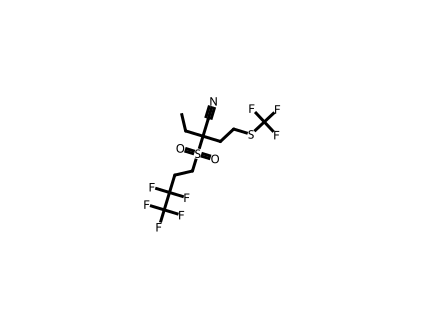 CCC(C#N)(CCSC(F)(F)F)S(=O)(=O)CCC(F)(F)C(F)(F)F